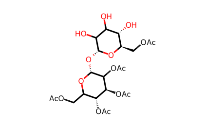 CC(=O)OCC1O[C@H](O[C@H]2O[C@H](COC(C)=O)[C@@H](O)C(O)C2O)C(OC(C)=O)[C@@H](OC(C)=O)[C@@H]1OC(C)=O